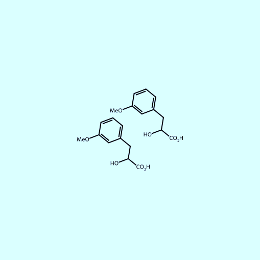 COc1cccc(CC(O)C(=O)O)c1.COc1cccc(CC(O)C(=O)O)c1